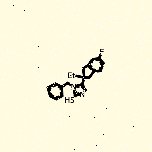 CCC1(c2cnc(S)n2Cc2ccccc2)Cc2ccc(F)cc2C1